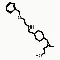 CN(CCO)CC1CCC(CNCCOCc2ccccc2)CC1